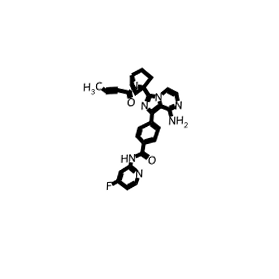 CC#CC(=O)N1C2CCC1(c1nc(-c3ccc(C(=O)Nc4cc(F)ccn4)cc3)c3c(N)nccn13)CC2